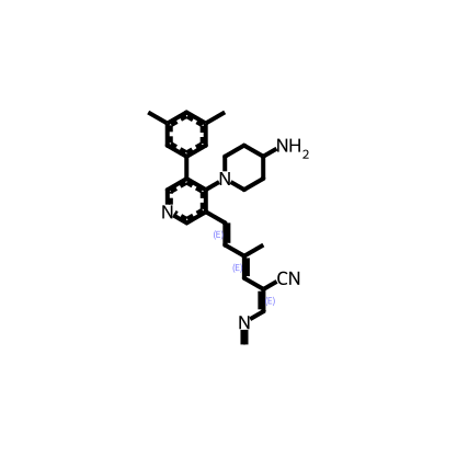 C=N\C=C(C#N)/C=C(C)/C=C/c1cncc(-c2cc(C)cc(C)c2)c1N1CCC(N)CC1